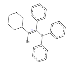 CC/C(=C(\B(c1ccccc1)c1ccccc1)c1ccccc1)C1CCCCC1